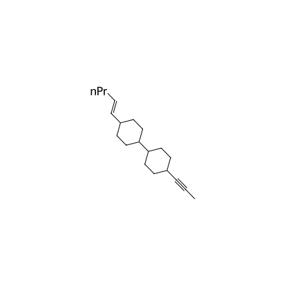 CC#CC1CCC(C2CCC(C=CCCC)CC2)CC1